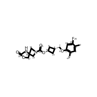 Cc1cc(F)c(OC[C@H]2C[C@@H](OC(=O)N3CC4(COC(=O)N4)C3)C2)cc1F